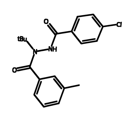 Cc1cccc(C(=O)N(NC(=O)c2ccc(Cl)cc2)C(C)(C)C)c1